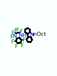 CCCCCCCCn1c2ccccc2c2ccccc21.Fc1c(F)c(F)c2c(c1F)NC(F)(F)C(F)(F)N2F